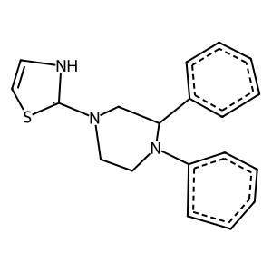 C1=CS[C](N2CCN(c3ccccc3)C(c3ccccc3)C2)N1